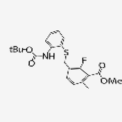 COC(=O)c1c(C)ccc(CSc2ccccc2NC(=O)OC(C)(C)C)c1F